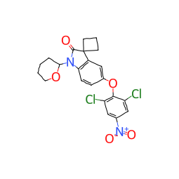 O=C1N(C2CCCCO2)c2ccc(Oc3c(Cl)cc([N+](=O)[O-])cc3Cl)cc2C12CCC2